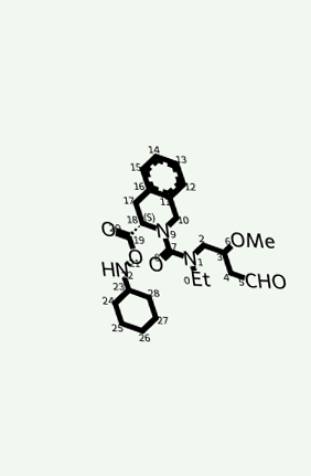 CCN(CC(CC=O)OC)C(=O)N1Cc2ccccc2C[C@H]1C(=O)ONC1CCCCC1